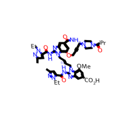 CCn1nc(C)cc1C(=O)Nc1nc2cc(C(=O)O)cc(OC)c2n1C/C=C/Cn1c(NC(=O)c2cc(C)nn2CC)nc2cc(C(N)=O)cc(OCC#CCN3CCN(C(=O)C(C)C)CC3)c21